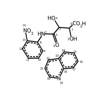 O=C(O)C(O)C(O)C(=O)Nc1ccccc1[N+](=O)[O-].c1ccc2ncccc2c1